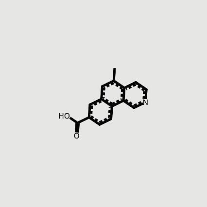 Cc1cc2cc(C(=O)O)ccc2c2cnccc12